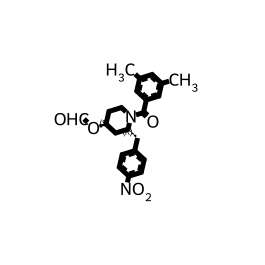 Cc1cc(C)cc(C(=O)N2CC[C@H](OC=O)C[C@H]2Cc2ccc([N+](=O)[O-])cc2)c1